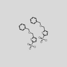 O=S(=O)(Cl)c1ccc(COCc2ccccc2)s1.O=S(=O)(Cl)c1ccc(COCc2ccccc2)s1